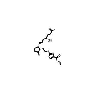 C=C(C)CC[C@@H](O)CC=C[C@H]1CCC(=O)[C@@H]1CCSc1nc(C(=O)OCC)cs1